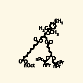 C=C(OCC(COC(=O)CCCCCCCCC(=O)OCCCCCCCC)COC(=O)CCCCC(OCC(CCC)CCC)OCC(CCC)CCC)C1(C)CCN(C)CC1